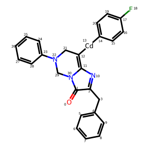 O=C1C(Cc2ccccc2)=NC2=[C]([Cd][c]3ccc(F)cc3)CN(c3ccccc3)CN12